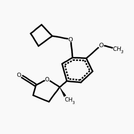 COc1ccc([C@]2(C)CCC(=O)O2)cc1OC1CCC1